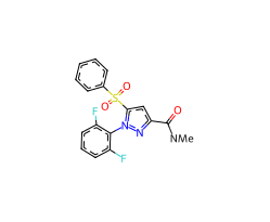 CNC(=O)c1cc(S(=O)(=O)c2ccccc2)n(-c2c(F)cccc2F)n1